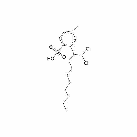 CCCCCCCCC(c1cc(C)ccc1S(=O)(=O)O)C(Cl)Cl